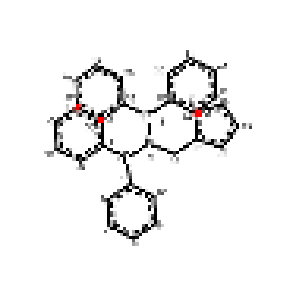 c1ccc(P(c2ccccc2)N(Cc2cccs2)P(c2ccccc2)c2ccccc2)cc1